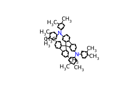 Cc1ccc2c(c1)C1(c3cc(C)ccc3-2)c2cc(N(c3ccc(C)c(C)c3)c3ccc(C)c(C)c3)ccc2-c2ccc(N(c3ccc(C)c(C)c3)c3ccc(C)c(C)c3)cc21